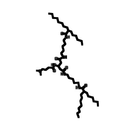 CCCCCCCCC(CCCCCC)C(=O)NCCCCCNC(=O)CC(CC(=O)NCCCCCNC(=O)C(CCCCCC)CCCCCCCC)NC(=O)CCCN(C)C